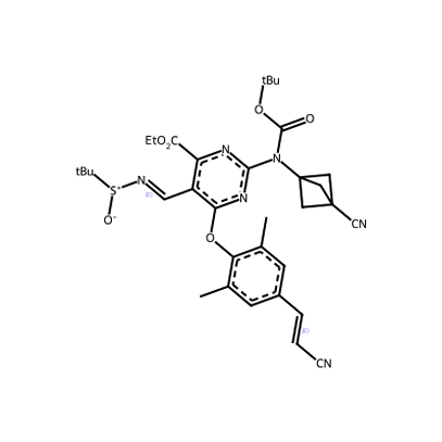 CCOC(=O)c1nc(N(C(=O)OC(C)(C)C)C23CC(C#N)(C2)C3)nc(Oc2c(C)cc(/C=C/C#N)cc2C)c1/C=N/[S+]([O-])C(C)(C)C